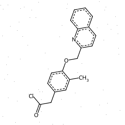 Cc1cc(CC(=O)Cl)ccc1OCc1ccc2ccccc2n1